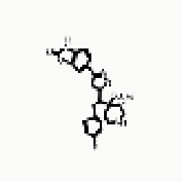 CCOC(=O)C1(C(Cc2ccc(F)cc2)C2CC(c3ccc4[nH]c(=O)oc4c3)=NO2)CCNCC1